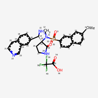 COc1ccc2ccc(S(=O)(=O)N(C)[C@]3(C(N)c4ccc5ccncc5c4)CCNC3=O)cc2c1.O=C(O)C(F)(F)F